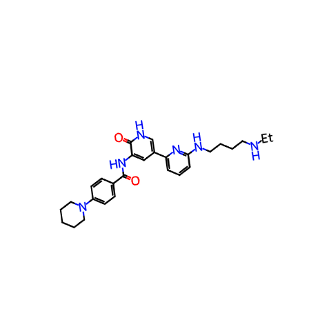 CCNCCCCNc1cccc(-c2c[nH]c(=O)c(NC(=O)c3ccc(N4CCCCC4)cc3)c2)n1